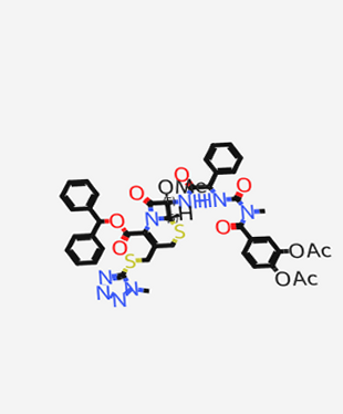 CO[C@@]1(NC(=O)C(NC(=O)N(C)C(=O)c2ccc(OC(C)=O)c(OC(C)=O)c2)c2ccccc2)C(=O)N2C(C(=O)OC(c3ccccc3)c3ccccc3)=C(CSc3nnnn3C)CS[C@H]21